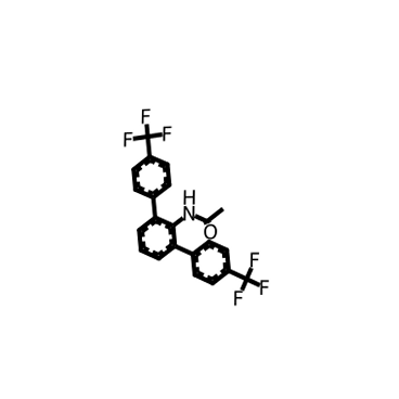 CC(=O)Nc1c(-c2ccc(C(F)(F)F)cc2)cccc1-c1ccc(C(F)(F)F)cc1